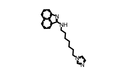 c1cc2c3c(cccc3c1)C(NCCCCCCCn1ccnc1)=N2